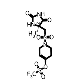 C[C@]1(CS(=O)(=O)N2CC=C(OS(=O)(=O)C(F)(F)F)CC2)NC(=O)NC1=O